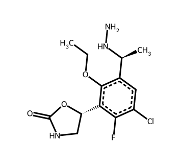 CCOc1c([C@H](C)NN)cc(Cl)c(F)c1[C@@H]1CNC(=O)O1